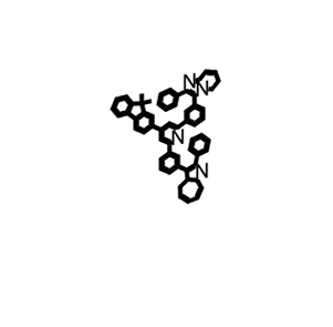 CC1(C)c2ccccc2-c2ccc(-c3cc(-c4cccc(C5=C(c6ccccc6)N=C6C=CC=CCC65)c4)nc(-c4cccc(-c5c(-c6ccccc6)nc6n5CCC=C6)c4)c3)cc21